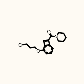 O=C(C1=Cc2c(OCCCCl)cccc21)N1CCCCC1